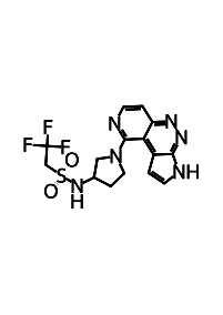 O=S(=O)(CC(F)(F)F)NC1CCN(c2nccc3nnc4[nH]ccc4c23)C1